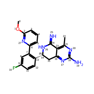 COc1cccc(-c2cc(F)ccc2[C@H]2Cc3nc(N)nc(C)c3C(=N)N2)n1